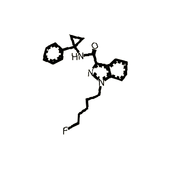 O=C(NC1(c2ccccc2)CC1)c1nn(CCCCCF)c2ccccc12